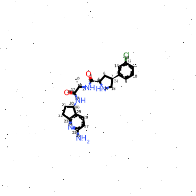 C[C@H](NC(=O)[C@H]1C[C@@H](c2cccc(Cl)c2)CN1)C(=O)N[C@@H]1CCc2nc(N)ccc21